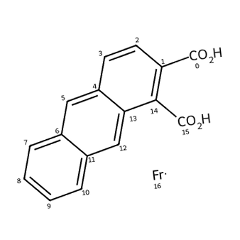 O=C(O)c1ccc2cc3ccccc3cc2c1C(=O)O.[Fr]